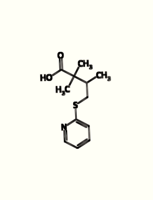 CC(CSc1ccccn1)C(C)(C)C(=O)O